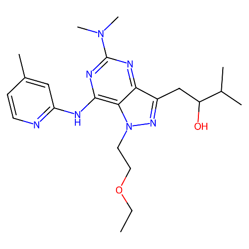 CCOCCn1nc(CC(O)C(C)C)c2nc(N(C)C)nc(Nc3cc(C)ccn3)c21